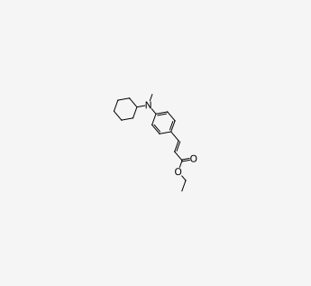 CCOC(=O)C=Cc1ccc(N(C)C2CCCCC2)cc1